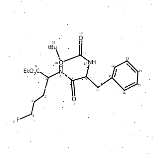 CCOC(=O)C(CCCF)NC(=O)C(Cc1ccccc1)NC(=O)OC(C)(C)C